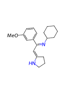 COc1cccc(C(C=C2CCCN2)=NC2CCCCC2)c1